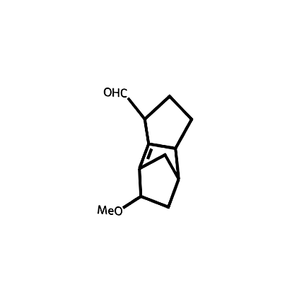 COC1CC2CC1=C1C(C=O)CCC12